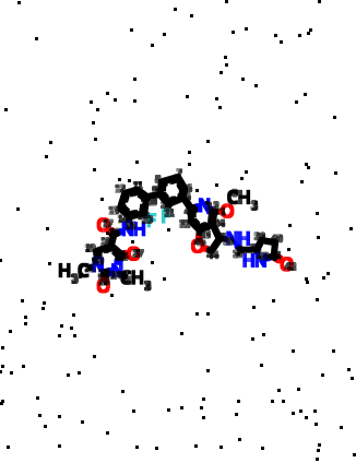 COc1nc(-c2cccc(-c3cccc(NC(=O)c4cn(C)c(=O)n(C)c4=O)c3F)c2F)cc2c1C(NCC1CCC(=O)N1)CO2